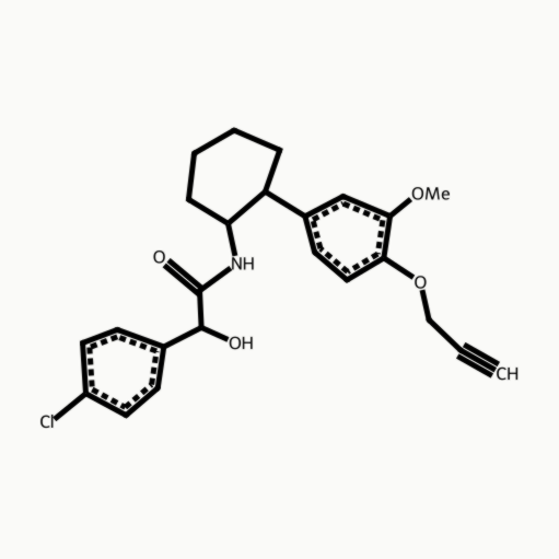 C#CCOc1ccc(C2CCCCC2NC(=O)C(O)c2ccc(Cl)cc2)cc1OC